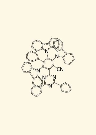 N#Cc1c(-c2nc(-c3ccccc3)nc(-c3ccccc3)n2)c(-n2c3ccccc3c3ccccc32)c(-c2ccccc2)c(-n2c3ccccc3c3ccccc32)c1-n1c2ccccc2c2ccccc21